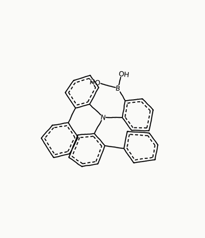 OB(O)c1ccccc1N(c1ccccc1-c1ccccc1)c1ccccc1-c1ccccc1